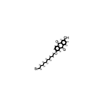 O=C1c2ccc(OCCCCCCCCCCBr)cc2C(=O)c2ccc(O)cc21